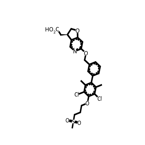 Cc1c(Cl)c(OCCCS(C)(=O)=O)c(Cl)c(C)c1-c1cccc(COc2cc3c(cn2)[C@@H](CC(=O)O)CO3)c1